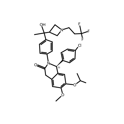 COc1cc2c(cc1OC(C)C)[C@H](c1ccc(Cl)cc1)N(c1ccc(C(C)(O)C3CN(CCC(F)(F)F)C3)cc1)C(=O)C2